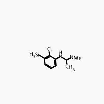 CNC(C)Nc1cccc([SiH3])c1Cl